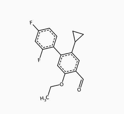 CCOc1cc(-c2ccc(F)cc2F)c(C2CC2)cc1C=O